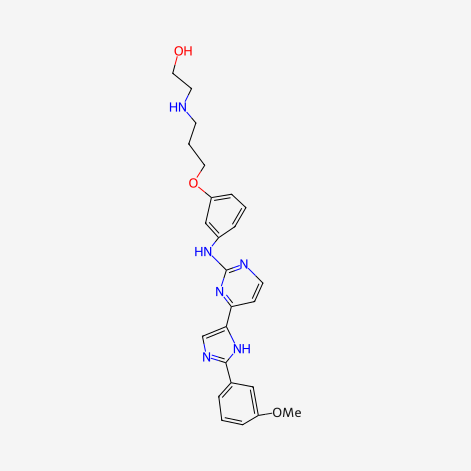 COc1cccc(-c2ncc(-c3ccnc(Nc4cccc(OCCCNCCO)c4)n3)[nH]2)c1